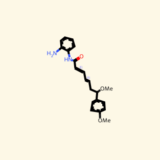 COc1ccc(C(C/C=C/C=C/C(=O)Nc2ccccc2N)OC)cc1